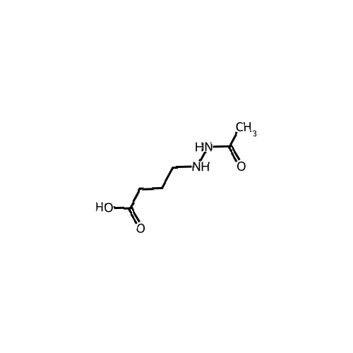 CC(=O)NNCCCC(=O)O